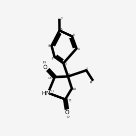 CCC1(c2ccc(C)cc2)CC(=O)NC1=O